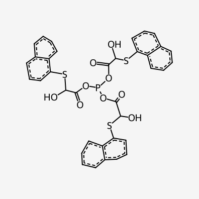 O=C(OP(OC(=O)C(O)Sc1cccc2ccccc12)OC(=O)C(O)Sc1cccc2ccccc12)C(O)Sc1cccc2ccccc12